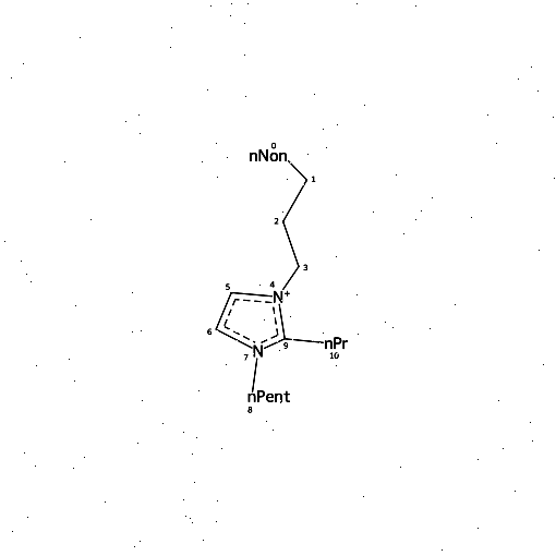 CCCCCCCCCCCC[n+]1ccn(CCCCC)c1CCC